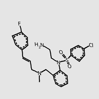 CN(C/C=C/c1ccc(F)cc1)Cc1ccccc1N(CCN)S(=O)(=O)c1ccc(Cl)cc1